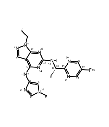 CCn1ncc2c(Nc3cn(C)cn3)nc(N[C@@H](C)c3ncc(F)cn3)nc21